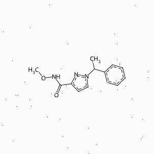 CONC(=O)c1ccn(C(C)c2ccccc2)n1